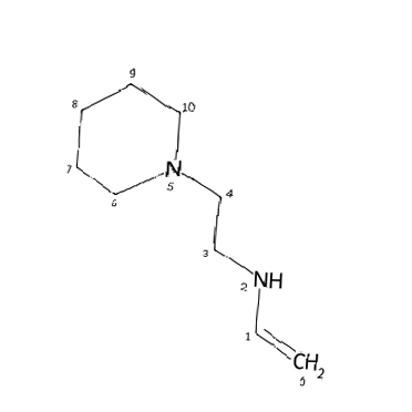 C=CNCCN1CCCCC1